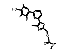 Cc1nc(COCC(=O)N(C)C)sc1-c1cccc(-c2cc(F)c(O)c(F)c2F)n1